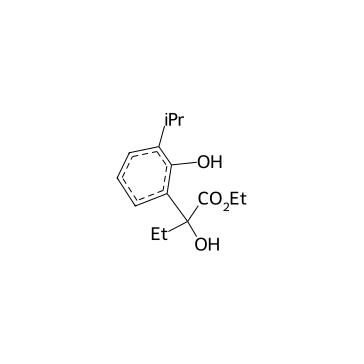 CCOC(=O)C(O)(CC)c1cccc(C(C)C)c1O